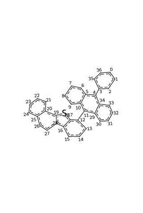 c1ccc(-c2c3ccccc3c(-c3cccc4c3sc3c5ccccc5ccc43)c3ccccc23)cc1